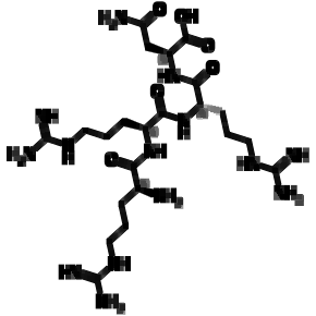 N=C(N)NCCC[C@H](NC(=O)[C@H](CCCNC(=N)N)NC(=O)[C@@H](N)CCCNC(=N)N)C(=O)N[C@@H](CC(N)=O)C(=O)O